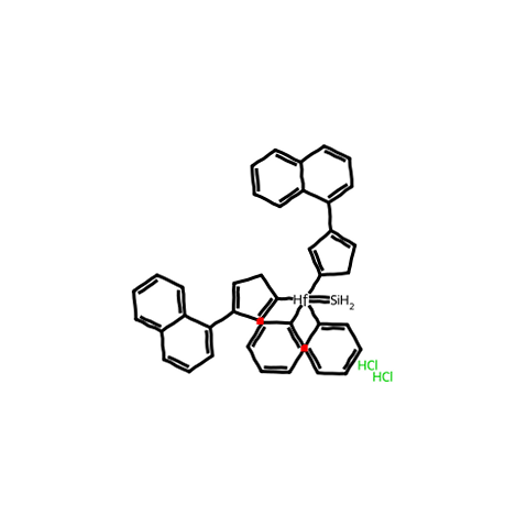 Cl.Cl.[SiH2]=[Hf]([C]1=CC(c2cccc3ccccc23)=CC1)([C]1=CC(c2cccc3ccccc23)=CC1)([c]1ccccc1)[c]1ccccc1